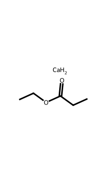 CCOC(=O)CC.[CaH2]